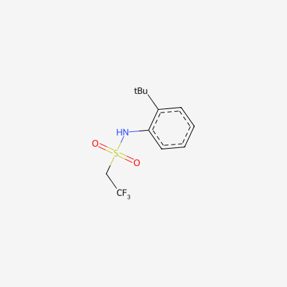 CC(C)(C)c1ccccc1NS(=O)(=O)CC(F)(F)F